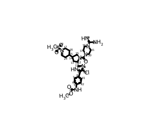 COC(=O)Nc1ccc(-c2[nH]c([C@@H]3CC(C4CCN(S(C)(=O)=O)CC4)CN3C(=O)N3CCN(C(=N)N)CC3)nc2Cl)cc1